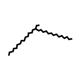 CCCCCCCCCCCCCCC(CC)CCCCCCCCCCCCCC